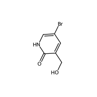 O=c1[nH]cc(Br)cc1CO